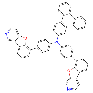 c1ccc(-c2ccccc2-c2ccc(N(c3ccc(-c4cccc5c4oc4cnccc45)cc3)c3ccc(-c4cccc5c4oc4ccncc45)cc3)cc2)cc1